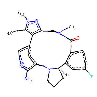 Cc1c2c(nn1C)CN(C)C(=O)c1ccc(F)cc1[C@H]1CCCN1c1cc-2cnc1N